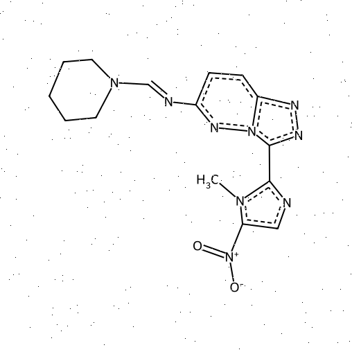 Cn1c([N+](=O)[O-])cnc1-c1nnc2ccc(N=CN3CCCCC3)nn12